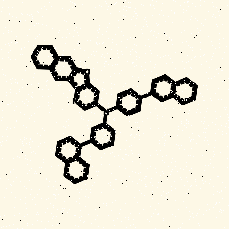 c1cc(-c2cccc3ccccc23)cc(N(c2ccc(-c3ccc4ccccc4c3)cc2)c2cnc3c(c2)oc2cc4ccccc4cc23)c1